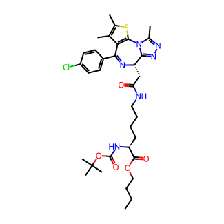 CCCCOC(=O)[C@H](CCCCNC(=O)C[C@@H]1N=C(c2ccc(Cl)cc2)c2c(sc(C)c2C)-n2c(C)nnc21)NC(=O)OC(C)(C)C